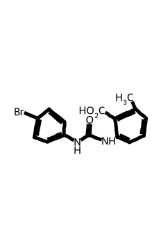 Cc1cccc(NC(=O)Nc2ccc(Br)cc2)c1C(=O)O